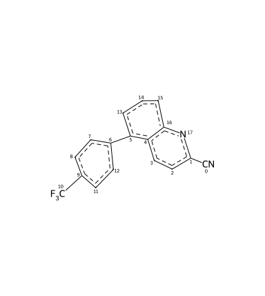 N#Cc1ccc2c(-c3ccc(C(F)(F)F)cc3)cccc2n1